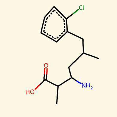 CC(Cc1ccccc1Cl)CC(N)C(C)C(=O)O